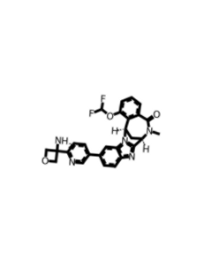 CN1C(=O)c2cccc(OC(F)F)c2[C@H]2C[C@@H]1c1nc3ccc(-c4ccc(C5(N)COC5)nc4)cc3n12